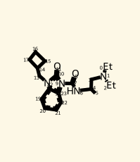 CCN(CC)CC(C)NC(=O)n1c(=O)n(CC2CCC2)c2ccccc21